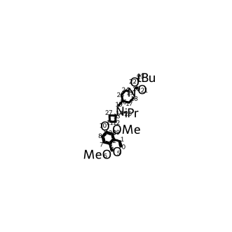 C=Cc1c(C(=O)OC)ccc(OC2CC(N(CC3CCN(C(=O)OC(C)(C)C)CC3)C(C)C)C2)c1OC